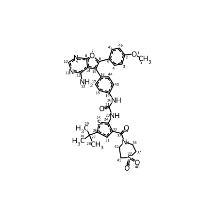 COc1ccc(-c2oc3ncnc(N)c3c2-c2ccc(NC(=O)Nc3sc(C(C)(C)C)cc3C(=O)N3CCS(=O)(=O)CC3)cc2)cc1